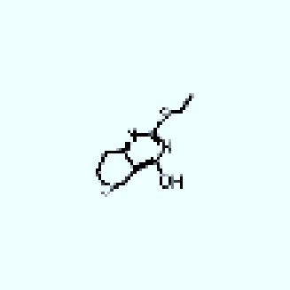 CCSc1nc(O)c2c(n1)CCOC2